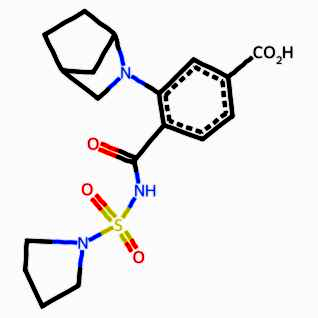 O=C(O)c1ccc(C(=O)NS(=O)(=O)N2CCCC2)c(N2CC3CCC2C3)c1